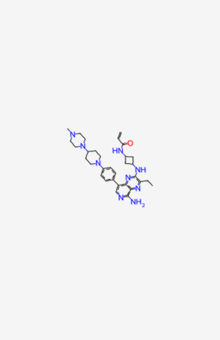 C=CC(=O)NC1CC(Nc2nc3c(-c4ccc(N5CCC(N6CCN(C)CC6)CC5)cc4)cnc(N)c3nc2CC)C1